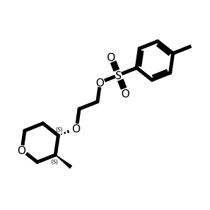 Cc1ccc(S(=O)(=O)OCCO[C@H]2CCOC[C@@H]2C)cc1